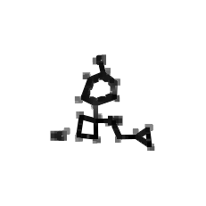 Cl.Clc1ccc(C2(NCC3CC3)CCC2)cc1